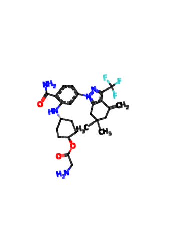 C=C1CC(C)(C)Cc2c1c(C(F)(F)F)nn2-c1ccc(C(N)=O)c(N[C@H]2CC[C@H](OC(=O)CN)CC2)c1